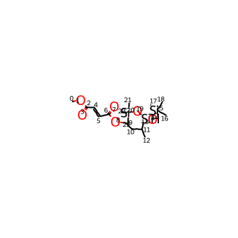 COC(=O)C=CC(=O)OCCC(C)[SiH](O[Si](C)(C)C)O[Si](C)(C)C